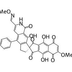 CO/N=C/c1cc2c(-c3ccccc3)c3c(c(O)c2c(=O)[nH]1)[C@@]1(CC3)C(=O)c2c(O)c3c(c(O)c2C1=O)C(=O)C(OC)=CC3=O